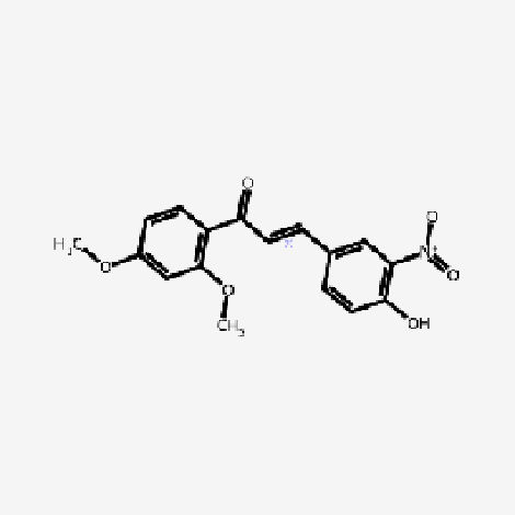 COc1ccc(C(=O)/C=C/c2ccc(O)c([N+](=O)[O-])c2)c(OC)c1